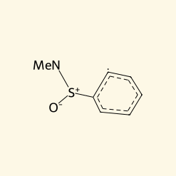 CN[S+]([O-])c1[c]cccc1